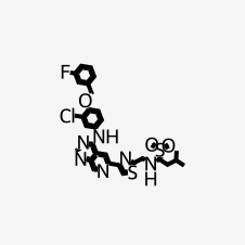 CC(C)CC(NCc1nc(-c2cc3c(Nc4ccc(OCc5cccc(F)c5)c(Cl)c4)ncnc3cn2)cs1)=S(=O)=O